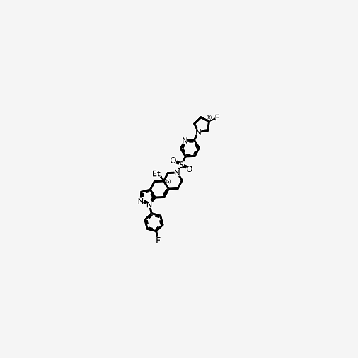 CC[C@]12Cc3cnn(-c4ccc(F)cc4)c3C=C1CCN(S(=O)(=O)c1ccc(N3CC[C@@H](F)C3)nc1)C2